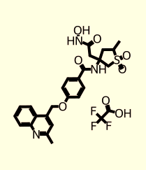 Cc1cc(COc2ccc(C(=O)NC3(CC(=O)NO)CC(C)S(=O)(=O)C3)cc2)c2ccccc2n1.O=C(O)C(F)(F)F